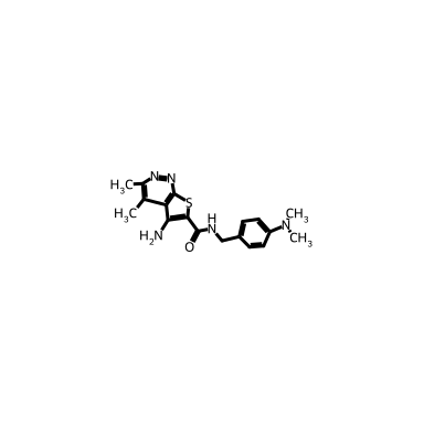 Cc1nnc2sc(C(=O)NCc3ccc(N(C)C)cc3)c(N)c2c1C